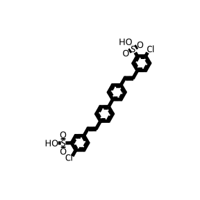 O=S(=O)(O)c1cc(C=Cc2ccc(-c3ccc(C=Cc4ccc(Cl)c(S(=O)(=O)O)c4)cc3)cc2)ccc1Cl